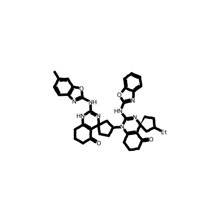 CCC1CC[C@]2(C1)N=C(Nc1nc3ccccc3o1)N(C1CCC3(C1)N=C(Nc1nc4ccc(C)cc4o1)NC1=C3C(=O)CCC1)C1=C2C(=O)CCC1